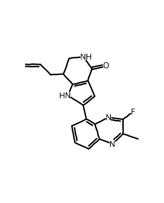 C=CCC1CNC(=O)c2cc(-c3cccc4nc(C)c(F)nc34)[nH]c21